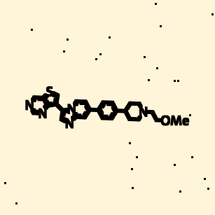 COCCN1CCC(c2ccc(-c3ccn4c(-c5csc6cncnc56)cnc4c3)cc2)CC1